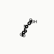 CS(=O)(=O)c1ccc2c(c1)CCN2Cc1ccc(C2CCN(C(=O)O)CC2)cn1